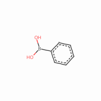 OB(O)c1[c]cccc1